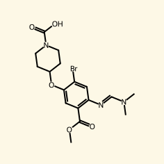 COC(=O)c1cc(OC2CCN(C(=O)O)CC2)c(Br)cc1N=CN(C)C